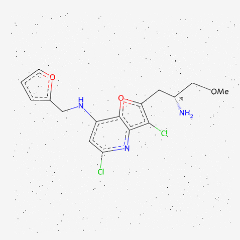 COC[C@H](N)Cc1oc2c(NCc3ccco3)cc(Cl)nc2c1Cl